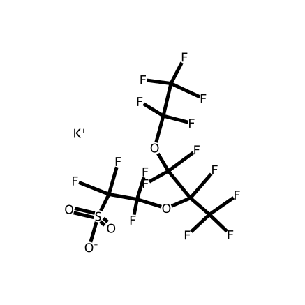 O=S(=O)([O-])C(F)(F)C(F)(F)OC(F)(C(F)(F)F)C(F)(F)OC(F)(F)C(F)(F)F.[K+]